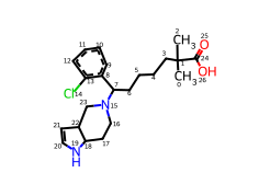 CC(C)(CCCCC(c1ccccc1Cl)N1CCC2NC=CC2C1)C(=O)O